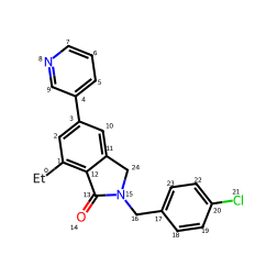 CCc1cc(-c2cccnc2)cc2c1C(=O)N(Cc1ccc(Cl)cc1)C2